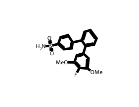 COc1cc(-c2ccccc2-c2ccc(S(N)(=O)=O)cc2)cc(OC)c1F